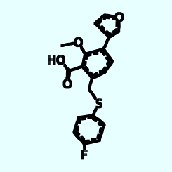 COc1c(-c2ccoc2)ccc(CSc2ccc(F)cc2)c1C(=O)O